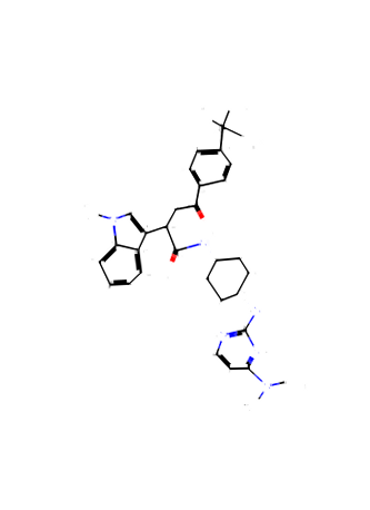 CN(C)c1ccnc(N[C@H]2CC[C@@H](NC(=O)C(CC(=O)c3ccc(C(C)(C)C)cc3)c3cn(C)c4ccccc34)CC2)n1